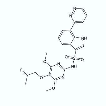 COc1nc(NS(=O)(=O)c2c[nH]c3c(-c4cccnn4)cccc23)nc(OC)c1OCC(F)F